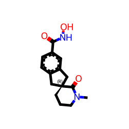 CN1CCC[C@]2(Cc3ccc(C(=O)NO)cc3C2)C1=O